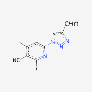 Cc1cc(-n2cc(C=O)nn2)nc(C)c1C#N